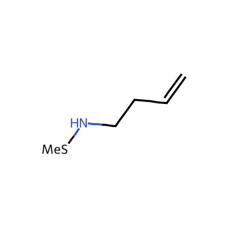 C=CCCNSC